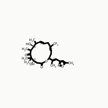 C/C(=C\c1cc(C)on1)C1C/C=C(/C(F)(F)F)C/C=C/C(C)[C@H](O)C(C)C(=O)C(C)(C)[C@@H](O)CC(=O)O1